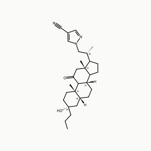 CCC[C@@]1(O)CC[C@]2(C)C3C(=O)C[C@@]4(C)C(CCC4[C@@H](C)Cn4cc(C#N)cn4)[C@@H]3CC[C@@H]2C1